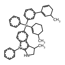 CC1C=C(c2cccc([Si](C3=CC(C)CCC3)(c3ccccc3)c3ccc4c(c3)c3c(n4-c4ccccc4)NCC3C)c2)C=CC1